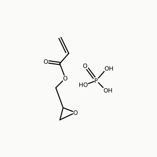 C=CC(=O)OCC1CO1.O=P(O)(O)O